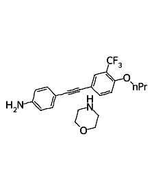 C1COCCN1.CCCOc1ccc(C#Cc2ccc(N)cc2)cc1C(F)(F)F